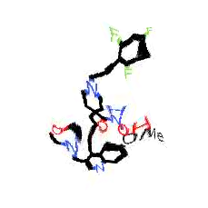 COc1ccc2ncc(CN3CCOCC3)c(CCCC3(C(=O)NO)CCN(CC#Cc4c(F)cc(F)cc4F)CC3)c2c1